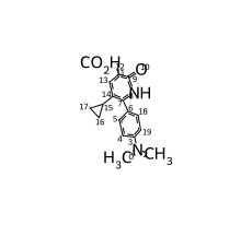 CN(C)c1ccc(-c2[nH]c(=O)c(C(=O)O)cc2C2CC2)cc1